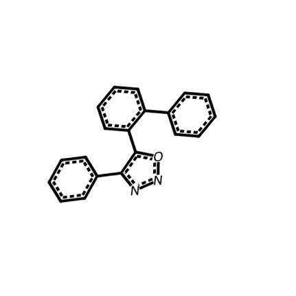 c1ccc(-c2ccccc2-c2onnc2-c2ccccc2)cc1